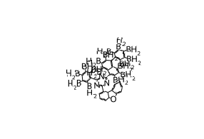 Bc1c(B)c(B)c(-c2nc(C3=CC=CC4Oc5ccccc5C34)nc(-c3c(B)c(B)c(B)c4c(-c5c(B)c(B)c(B)c(B)c5B)c(B)c(B)c(B)c34)n2)c(B)c1B